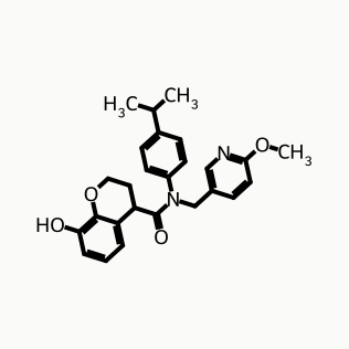 COc1ccc(CN(C(=O)C2CCOc3c(O)cccc32)c2ccc(C(C)C)cc2)cn1